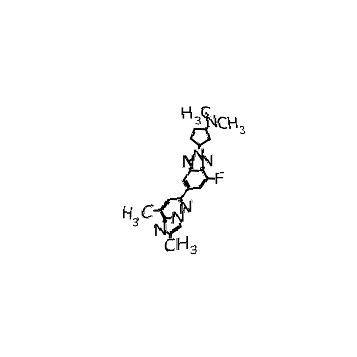 Cc1cn2nc(-c3cc(F)c4nn(C5CCC(N(C)C)C5)nc4c3)cc(C)c2n1